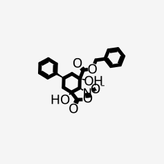 CC(=O)[C@@]1(O)C[C@@H](c2ccccc2)C[C@@](O)(C(=O)OCc2ccccc2)[C@@H]1[N+](=O)[O-]